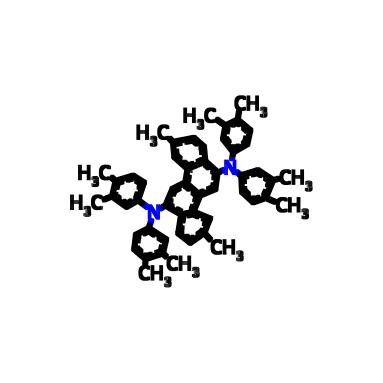 Cc1ccc2c(N(c3ccc(C)c(C)c3)c3ccc(C)c(C)c3)cc3c4cc(C)ccc4c(N(c4ccc(C)c(C)c4)c4ccc(C)c(C)c4)cc3c2c1